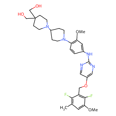 COc1cc(Nc2ncc(OCc3c(F)c(C)cc(OC)c3F)cn2)ccc1N1CCC(N2CCC(CO)(CO)CC2)CC1